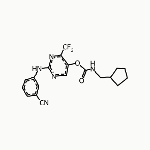 N#Cc1cccc(Nc2ncc(OC(=O)NCC3CCCC3)c(C(F)(F)F)n2)c1